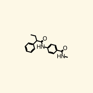 CCC(C(=O)Nc1ccc(C(=O)NC)cc1)c1ccccc1